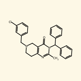 Cc1nc2c(c(=O)n1C(c1ccccc1)c1ccccc1)CN(Cc1cccc(Cl)c1)CC2